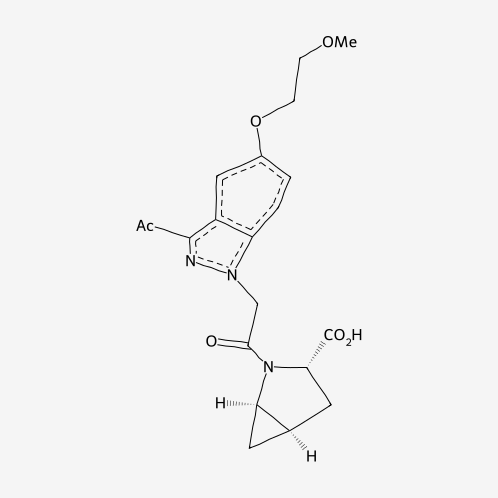 COCCOc1ccc2c(c1)c(C(C)=O)nn2CC(=O)N1[C@@H]2C[C@@H]2C[C@H]1C(=O)O